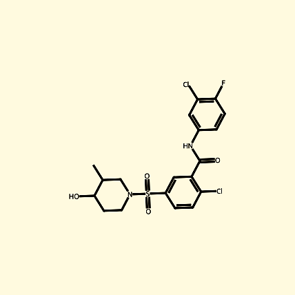 CC1CN(S(=O)(=O)c2ccc(Cl)c(C(=O)Nc3ccc(F)c(Cl)c3)c2)CCC1O